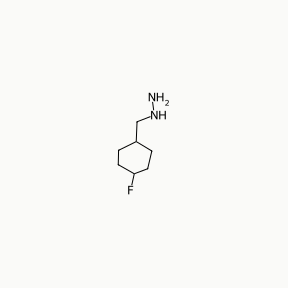 NNCC1CCC(F)CC1